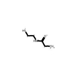 CCC(=O)NCCS